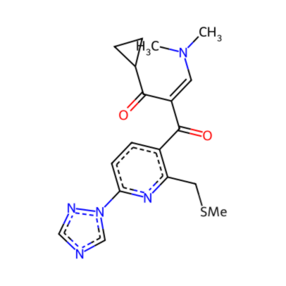 CSCc1nc(-n2cncn2)ccc1C(=O)C(=CN(C)C)C(=O)C1CC1